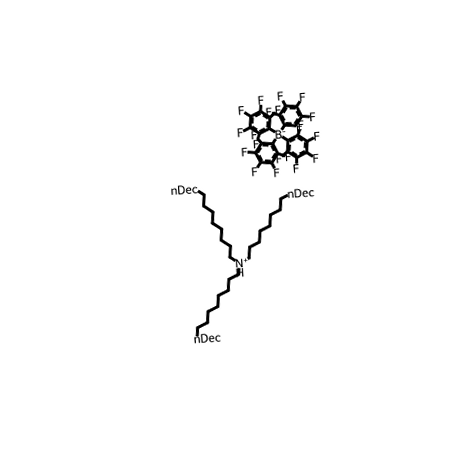 CCCCCCCCCCCCCCCCCC[NH+](CCCCCCCCCCCCCCCCCC)CCCCCCCCCCCCCCCCCC.Fc1c(F)c(F)c([B-](c2c(F)c(F)c(F)c(F)c2F)(c2c(F)c(F)c(F)c(F)c2F)c2c(F)c(F)c(F)c(F)c2F)c(F)c1F